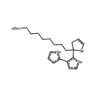 CCCCCCCCCCCCCCCCCCC1(c2[se]ccc2-c2ccc[se]2)CC=C[Se]1